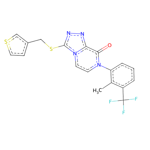 Cc1c(-n2ccn3c(SCc4ccsc4)nnc3c2=O)cccc1C(F)(F)F